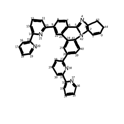 C1=Cc2c(nc3c4ccc(-c5cccc(-c6ccccn6)n5)cc4c4cc(-c5cccc(-c6ccccn6)n5)ccc4n23)CC1